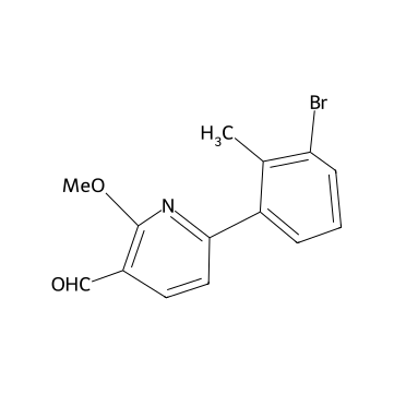 COc1nc(-c2cccc(Br)c2C)ccc1C=O